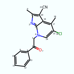 Cc1nc2n(CC(=O)c3ccccc3)cc(Cl)c(C)c-2c1C#N